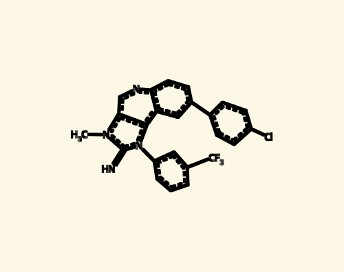 Cn1c(=N)n(-c2cccc(C(F)(F)F)c2)c2c3cc(-c4ccc(Cl)cc4)ccc3ncc21